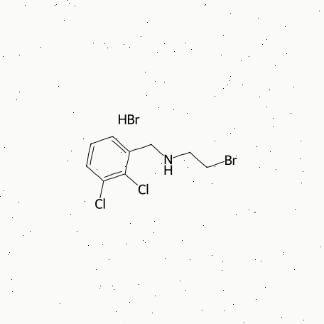 Br.Clc1cccc(CNCCBr)c1Cl